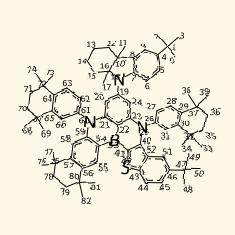 CC(C)(C)c1ccc2c(c1)C1(C)CCCCC1(C)N2c1cc2c3c(c1)N(c1ccc4c(c1)C(C)(C)CCC4(C)C)c1c(sc4ccc(C(C)(C)C)cc14)B3c1cc3c(cc1N2c1ccc2c(c1)C(C)(C)CCC2(C)C)C(C)(C)CCC3(C)C